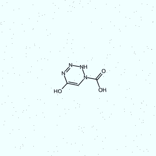 O=C(O)N1C=C(O)N=NN1